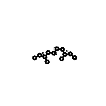 c1ccc(-c2ccc3sc4c(-c5cccc(-c6ccnc(-c7cc(-c8cccc(-c9cc(-c%10ccccc%10)cc%10c9sc9ccc(-c%11ccccc%11)cc9%10)c8)ccn7)c6)c5)cc(-c5ccccc5)cc4c3c2)cc1